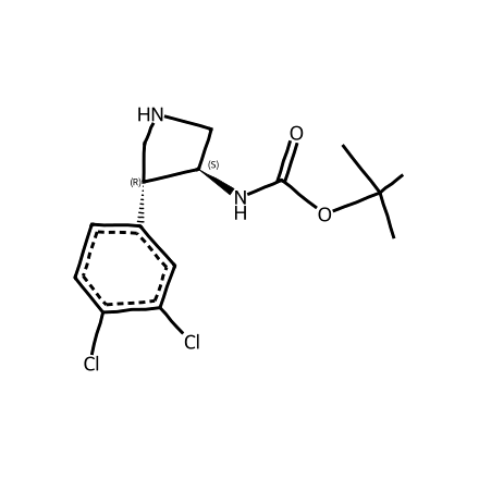 CC(C)(C)OC(=O)N[C@@H]1CNC[C@H]1c1ccc(Cl)c(Cl)c1